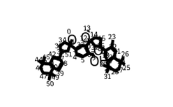 COC1(c2ccc(C(=O)O)c(C3(OC)CCC(c4cc5c(cc4C)C(C)(C)CCC5(C)C)C3)c2)CCC(c2ccc3c(c2)C(C)(C)CCC3(C)C)C1